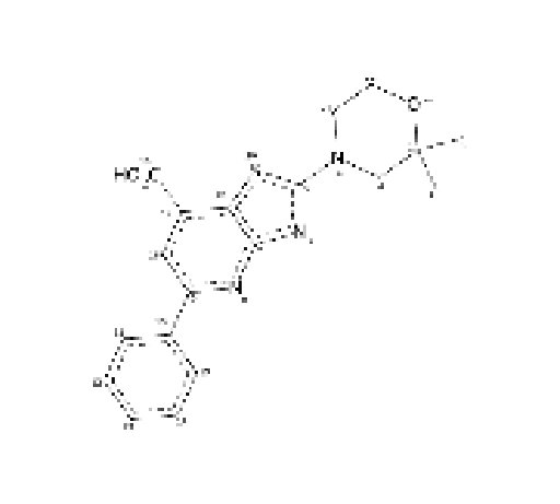 CC1(C)CN(c2nc3nc(-c4ccccc4)cc(C(=O)O)c3s2)CCO1